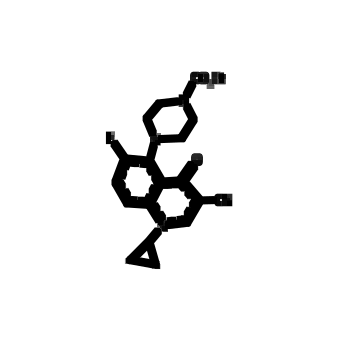 CCOC(=O)N1CCN(c2c(F)ccc3c2c(=O)c(C#N)cn3C2CC2)CC1